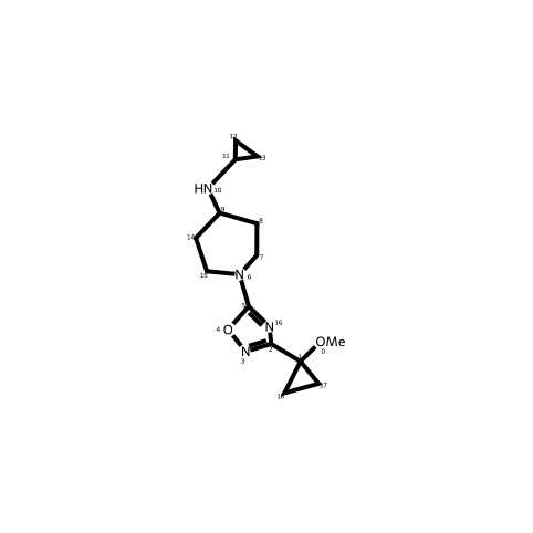 COC1(c2noc(N3CCC(NC4CC4)CC3)n2)CC1